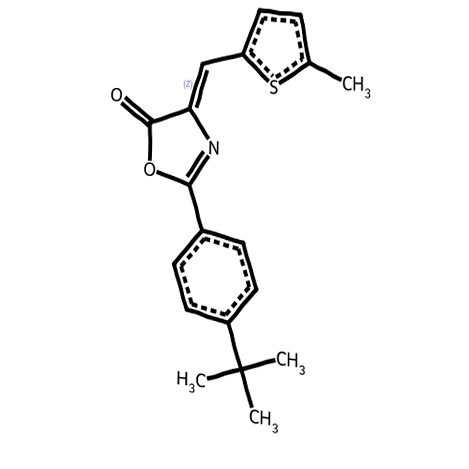 Cc1ccc(/C=C2\N=C(c3ccc(C(C)(C)C)cc3)OC2=O)s1